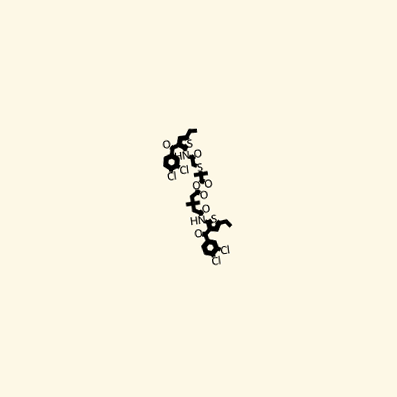 CCc1cc(C(=O)c2ccc(Cl)c(Cl)c2)c(NC(=O)CSC(C)(C)C(=O)OC(=O)CC(C)(C)CC(=O)Nc2sc(CC)cc2C(=O)c2ccc(Cl)c(Cl)c2)s1